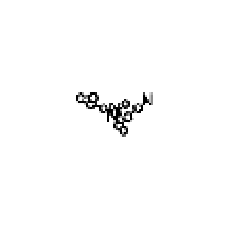 N#Cc1ccc(-c2ccc(-c3c(-c4nc(-c5ccccc5)nc(-c5ccc(-c6ccc7c8c(cccc68)-c6ccccc6-7)cc5)n4)ccc4ccccc34)cc2)cc1